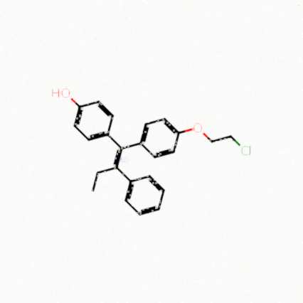 CC/C(=C(\c1ccc(O)cc1)c1ccc(OCCCl)cc1)c1ccccc1